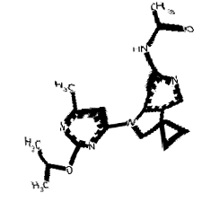 CC(=O)Nc1cc2c(cn1)C1(CC1)CN2c1cc(C)nc(OC(C)C)n1